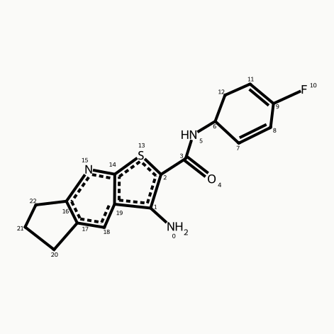 Nc1c(C(=O)NC2C=CC(F)=CC2)sc2nc3c(cc12)CCC3